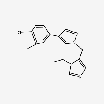 CCn1cncc1Cn1cc(-c2ccc(Cl)c(C)c2)cn1